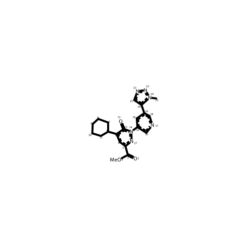 COC(=O)c1cc(C2CCCCC2)c(=O)n(-c2cncc(-c3cnnn3C)c2)n1